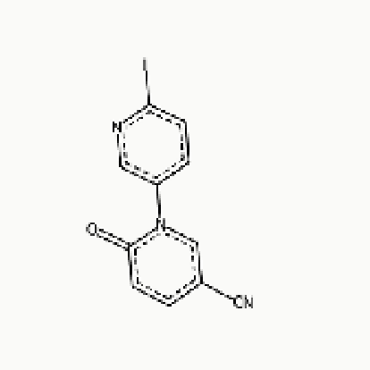 N#Cc1ccc(=O)n(-c2ccc(I)nc2)c1